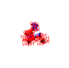 CC(=O)NC1C(O)[C@H](O[C@@H]2OC3CC(O)(O)[C@@H]3[C@H](O)C2O)[C@H](CO)O[C@H]1OCCC1[C@@H](OCC2O[C@@H](O[C@@H]3C(CO)O[C@@H](O[C@@H]4C(CO)O[C@@H](C)C(NC(C)=O)[C@H]4O)C(NC(C)=O)[C@H]3O)C(O)[C@@H](O[C@H]3OC(CO)[C@@H](O)C(O)C3O[C@@H]3OC(CO)[C@@H](O[C@@H]4OC5[C@@H]([C@H](O)C4O)C5(O)O)[C@H](O)C3NC(C)=O)[C@@H]2O)OC(CO)[C@@H](O)[C@@H]1O